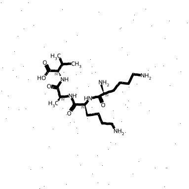 CC(C)[C@H](NC(=O)[C@H](C)NC(=O)[C@H](CCCCN)NC(=O)[C@@H](N)CCCCN)C(=O)O